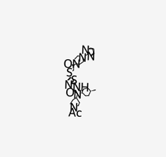 CC(=O)N1CCC(N(C(=O)Nc2ncc(SCC(=O)N3CCN(c4ncccn4)CC3)s2)[C@H]2CC[C@H](C)CC2)CC1